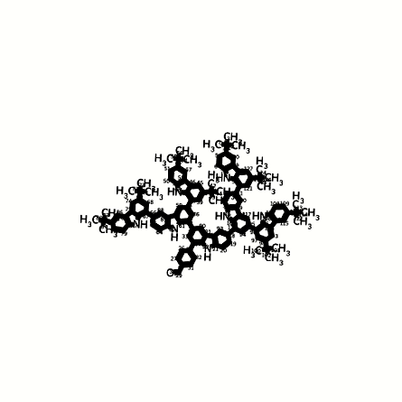 CC(C)(C)c1ccc2[nH]c3c(-c4ccc5[nH]c6c(-c7ccc8[nH]c9c(-c%10ccc(C=O)cc%10)cc(-c%10cc(-c%11cc(C(C)(C)C)cc%12c%11[nH]c%11ccc(C(C)(C)C)cc%11%12)cc%11c%10[nH]c%10ccc(-c%12cc(C(C)(C)C)cc%13c%12[nH]c%12ccc(C(C)(C)C)cc%12%13)cc%10%11)cc9c8c7)cc(-c7cc(C(C)(C)C)cc8c7[nH]c7ccc(C(C)(C)C)cc78)cc6c5c4)cc(C(C)(C)C)cc3c2c1